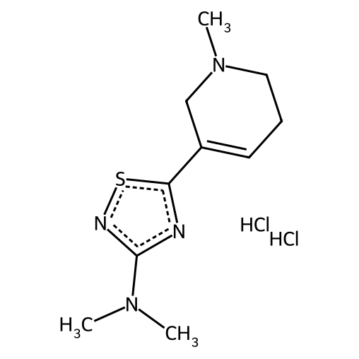 CN1CCC=C(c2nc(N(C)C)ns2)C1.Cl.Cl